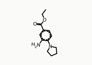 CCOC(=O)c1ccc(N2CCCC2)c(N)c1